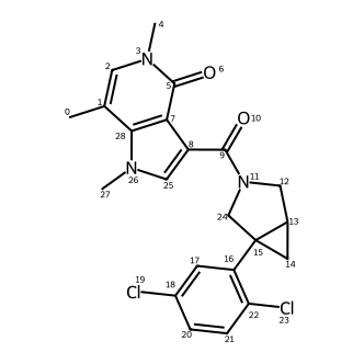 Cc1cn(C)c(=O)c2c(C(=O)N3CC4CC4(c4cc(Cl)ccc4Cl)C3)cn(C)c12